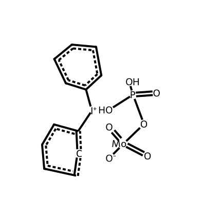 O=P(O)(O)[O][Mo](=[O])(=[O])[O-].c1ccc([I+]c2ccccc2)cc1